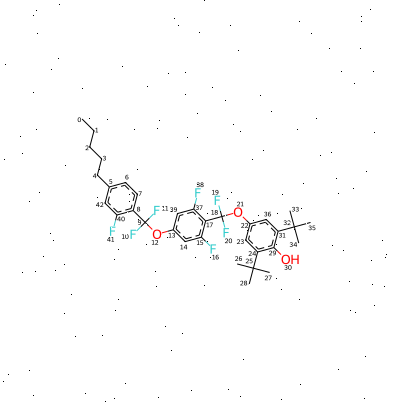 CCCCCc1ccc(C(F)(F)Oc2cc(F)c(C(F)(F)Oc3cc(C(C)(C)C)c(O)c(C(C)(C)C)c3)c(F)c2)c(F)c1